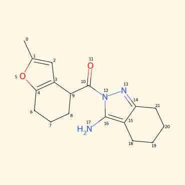 Cc1cc2c(o1)CCCC2C(=O)n1nc2c(c1N)CCCC2